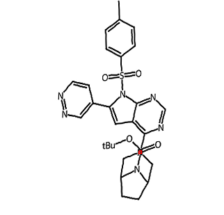 Cc1ccc(S(=O)(=O)n2c(-c3ccnnc3)cc3c(N4CC5CCC(C4)N5C(=O)OC(C)(C)C)ncnc32)cc1